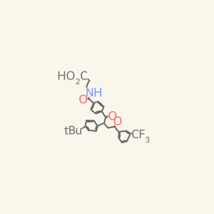 CC(C)(C)c1ccc(C(CC(=O)c2cccc(C(F)(F)F)c2)C(=O)c2ccc(C(=O)NCCC(=O)O)cc2)cc1